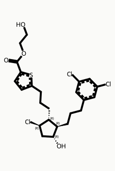 O=C(OCCO)c1ccc(CCC[C@@H]2[C@@H](CCCc3cc(Cl)cc(Cl)c3)[C@H](O)C[C@H]2Cl)s1